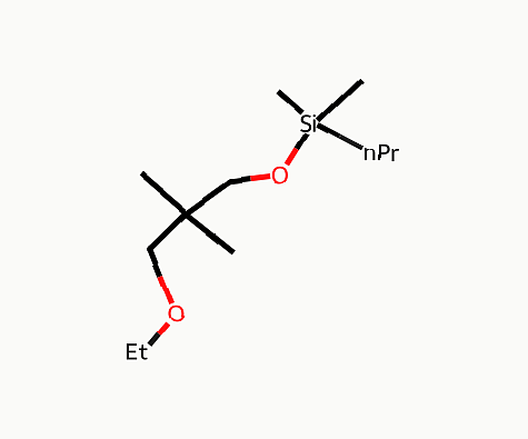 CCC[Si](C)(C)OCC(C)(C)COCC